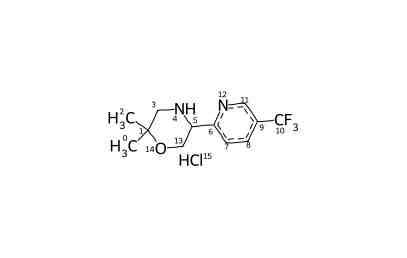 CC1(C)CNC(c2ccc(C(F)(F)F)cn2)CO1.Cl